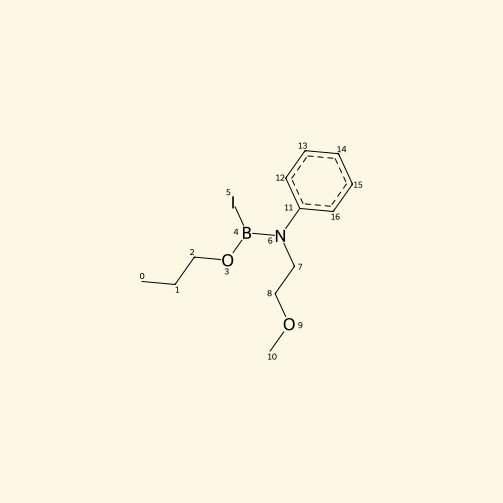 CCCOB(I)N(CCOC)c1ccccc1